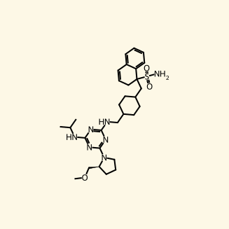 COC[C@@H]1CCCN1c1nc(NCC2CCC(CC3(S(N)(=O)=O)CC=Cc4ccccc43)CC2)nc(NC(C)C)n1